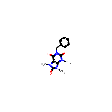 Cn1c(=O)n(C)c2c1c(=O)n(Cc1ccccc1)c(=O)n2C